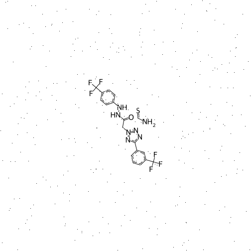 NC=S.O=C(Cn1nnc(-c2cccc(C(F)(F)F)c2)n1)NNc1ccc(C(F)(F)F)cc1